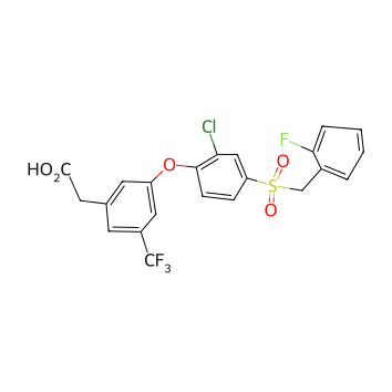 O=C(O)Cc1cc(Oc2ccc(S(=O)(=O)Cc3ccccc3F)cc2Cl)cc(C(F)(F)F)c1